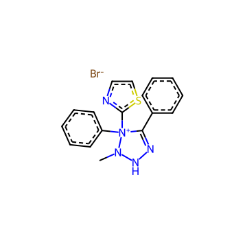 CN1NN=C(c2ccccc2)[N+]1(c1ccccc1)c1nccs1.[Br-]